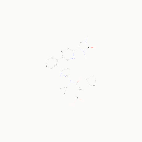 CN1CC(c2ccc(-c3ccccc3-c3csc(N(C(=O)[C@@H](CC(=O)O)CC4CCCC4)C4CC4)n3)cn2)N(C)C1=O